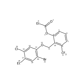 CCC(=O)Oc1cccc(C(F)(F)F)c1COc1cc(Cl)c(CC)cc1Br